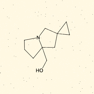 OCC12CCCN1CC1(CC1)C2